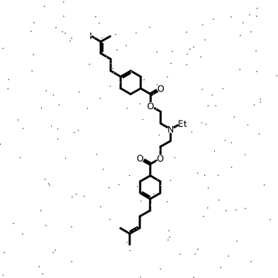 CCN(CCOC(=O)C1CC=C(CCC=C(C)C)CC1)CCOC(=O)C1CC=C(CC/C=C(\C)I)CC1